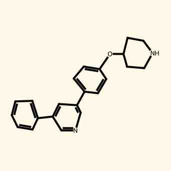 c1ccc(-c2cncc(-c3ccc(OC4CCNCC4)cc3)c2)cc1